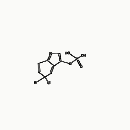 O=P(O)(O)OC1=CN=C2C=CC(Cl)(Br)C=C12